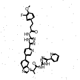 COc1ccc(CCC(=O)Nc2nnc(-c3ccc(-c4ccc5ncn(C(C)C(=O)Nc6nnc(-c7ccccn7)[nH]6)c5c4)cn3)[nH]2)cc1F